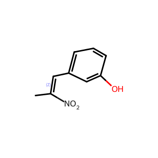 C/C(=C/c1cccc(O)c1)[N+](=O)[O-]